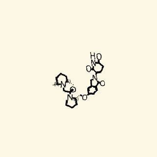 C[C@@H]1CCC[C@H](C)N1CC(=O)N1CCCC[C@H]1COc1ccc2c(c1)CN(C1CCC(=O)NC1=O)C2=O